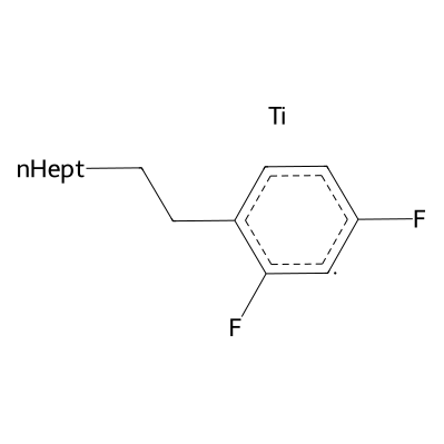 CCCCCCCCCc1ccc(F)[c]c1F.[Ti]